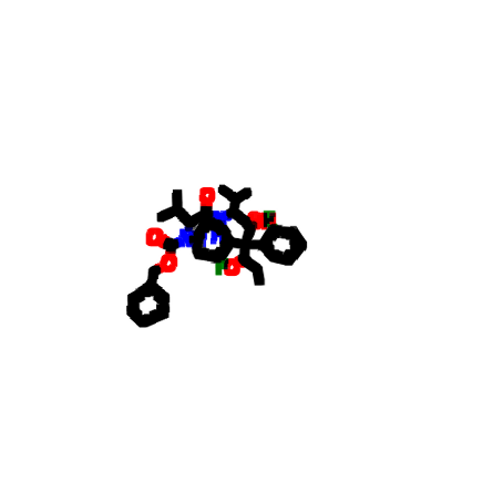 CCC(=O)C(c1ccccc1F)(c1ccccc1F)C(O)C(NC(=O)[C@@H](NC(=O)OCc1ccccc1)C(C)C)C(C)C